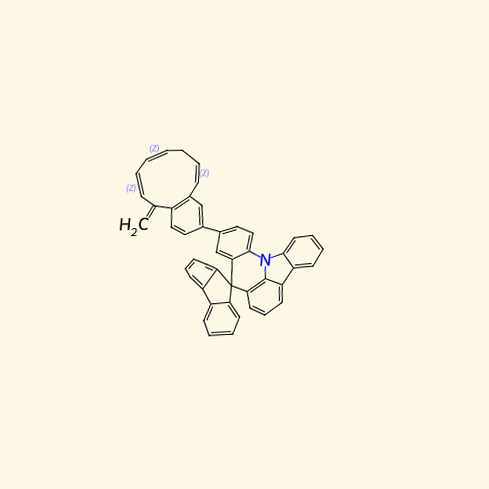 C=C1/C=C\C=C/C/C=C\c2cc(-c3ccc4c(c3)C3(c5ccccc5-c5ccccc53)c3cccc5c6ccccc6n-4c35)ccc21